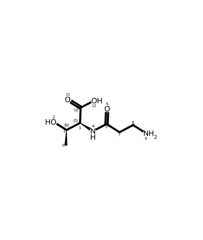 C[C@@H](O)[C@H](NC(=O)CCN)C(=O)O